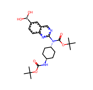 CC(C)(C)OC(=O)N[C@H]1CC[C@H](N(C(=O)OC(C)(C)C)c2ncc3cc(B(O)O)ccc3n2)CC1